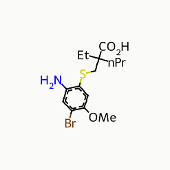 CCCC(CC)(CSc1cc(OC)c(Br)cc1N)C(=O)O